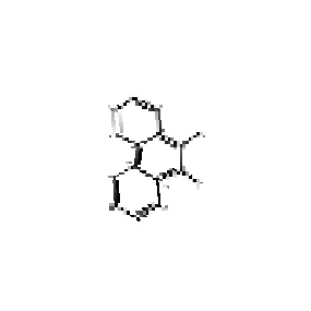 Cc1c(C)c2ccccc2c2ccc[c]c12